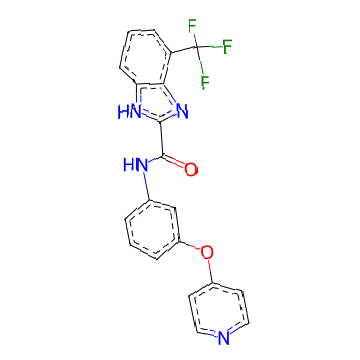 O=C(Nc1cccc(Oc2ccncc2)c1)c1nc2c(C(F)(F)F)cccc2[nH]1